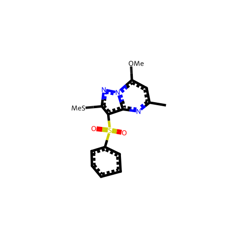 COc1cc(C)nc2c(S(=O)(=O)c3ccccc3)c(SC)nn12